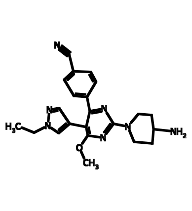 CCn1cc(-c2c(OC)nc(N3CCC(N)CC3)nc2-c2ccc(C#N)cc2)cn1